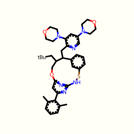 Cc1cccc(C)c1-c1cc2nc(n1)NSc1cccc(c1)C(Cc1ncc(N3CCOCC3)cc1N1CCOCC1)C(CC(C)(C)C)CO2